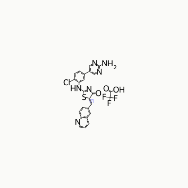 Nc1ncc(-c2ccc(Cl)c(NC3=NC(=O)/C(=C/c4ccc5ncccc5c4)S3)c2)cn1.O=C(O)C(F)(F)F